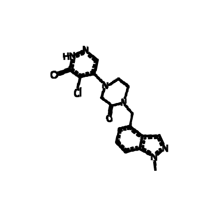 Cn1ncc2c(CN3CCN(c4cn[nH]c(=O)c4Cl)CC3=O)cccc21